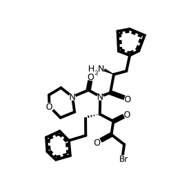 N[C@@H](Cc1ccccc1)C(=O)N(C(=O)N1CCOCC1)[C@@H](CCc1ccccc1)C(=O)C(=O)CBr